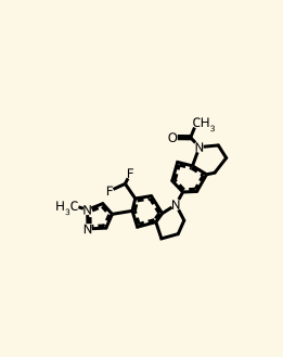 CC(=O)N1CCCc2cc(N3CCCc4cc(-c5cnn(C)c5)c(C(F)F)cc43)ccc21